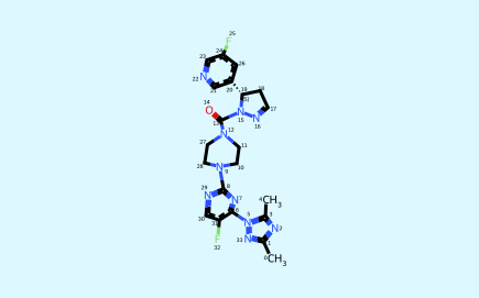 Cc1nc(C)n(-c2nc(N3CCN(C(=O)N4N=CC[C@H]4c4cncc(F)c4)CC3)ncc2F)n1